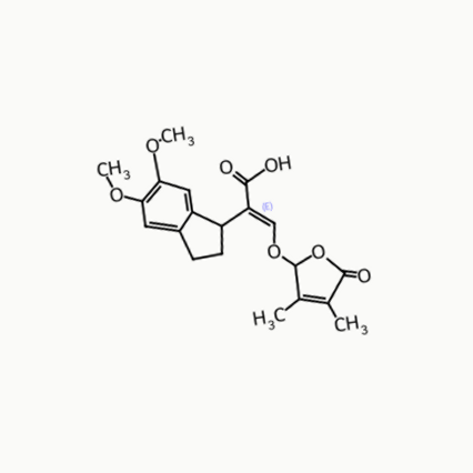 COc1cc2c(cc1OC)C(/C(=C\OC1OC(=O)C(C)=C1C)C(=O)O)CC2